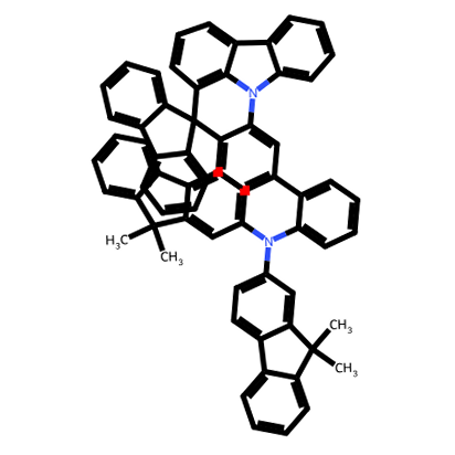 CC1(C)c2ccccc2-c2ccc(N(c3ccc4c(c3)C(C)(C)c3ccccc3-4)c3ccccc3-c3ccc4c(c3)-n3c5ccccc5c5cccc(c53)C43c4ccccc4-c4ccccc43)cc21